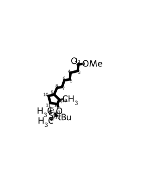 COC(=O)CCCCCCC1CCC(O[Si](C)(C)C(C)(C)C)[C@@H]1C